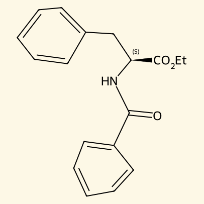 CCOC(=O)[C@H](Cc1ccccc1)NC(=O)c1ccccc1